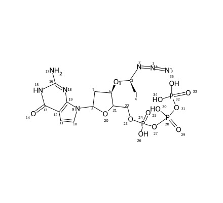 [N-]=[N+]=N[C@@H](I)O[C@@H]1CC(n2ccc3c(=O)[nH]c(N)nc32)OC1COP(=O)(O)OP(=O)(O)OP(=O)(O)O